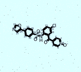 O=C(c1cc[n+]([O-])cc1)c1cc(Cl)ccc1NS(=O)(=O)c1ccc(-c2cnco2)cc1